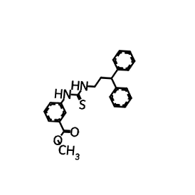 COC(=O)c1cccc(NC(=S)NCCC(c2ccccc2)c2ccccc2)c1